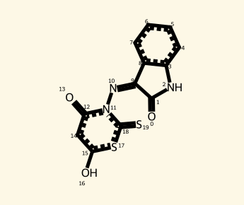 O=C1Nc2ccccc2/C1=N/n1c(=O)cc(O)sc1=S